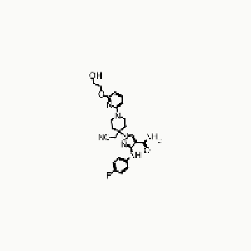 N#CCC1(n2cc(C(N)=O)c(Nc3ccc(F)cc3)n2)CCN(c2cccc(OCCO)n2)CC1